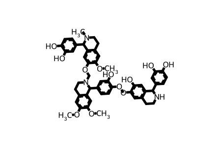 COc1cc2c(cc1OC)C(c1ccc(OOc3cc4c(cc3O)C(c3ccc(O)c(O)c3)NCC4)c(O)c1)N(COc1cc3c(cc1OC)CCN(C)C3c1ccc(O)c(O)c1)CC2